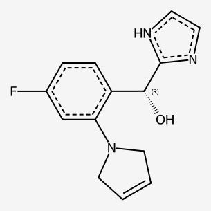 O[C@@H](c1ncc[nH]1)c1ccc(F)cc1N1CC=CC1